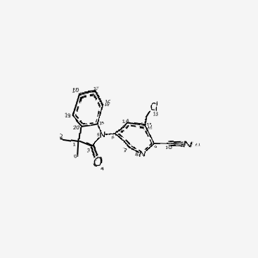 CC1(C)C(=O)N(c2cnc(C#N)c(Cl)c2)c2ccccc21